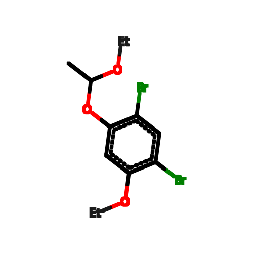 CCOc1cc(OC(C)OCC)c(Br)cc1Br